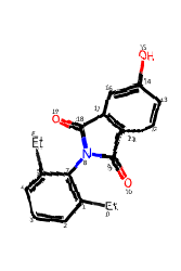 CCc1cccc(CC)c1N1C(=O)c2ccc(O)cc2C1=O